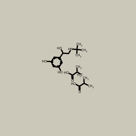 CC(C)(C)NCC(O)c1cc(O)cc(O)c1.CC(C)C(=O)O.CC(C)C(=O)O